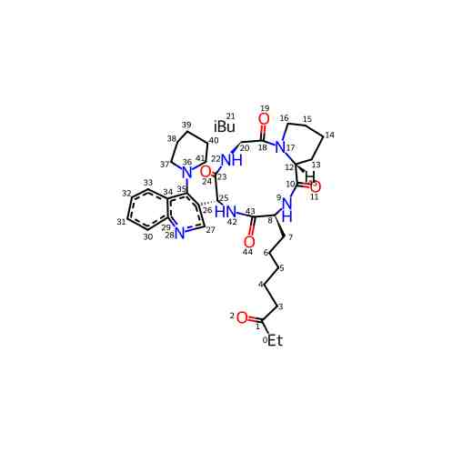 CCC(=O)CCCCC[C@@H]1NC(=O)[C@H]2CCCCN2C(=O)[C@H]([C@H](C)CC)NC(=O)[C@@H](c2cnc3ccccc3c2N2CCCCC2)NC1=O